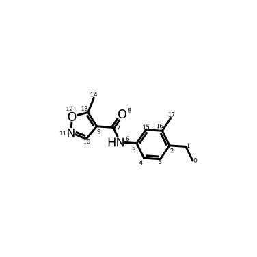 CCc1ccc(NC(=O)c2cnoc2C)cc1C